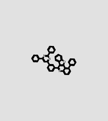 c1ccc(-c2cc(-c3cccc(-c4nc5cccc(-c6ccccc6)c5c5oc6ccccc6c45)c3)nc(-c3ccccc3)n2)cc1